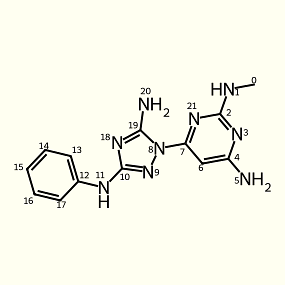 CNc1nc(N)cc(-n2nc(Nc3ccccc3)nc2N)n1